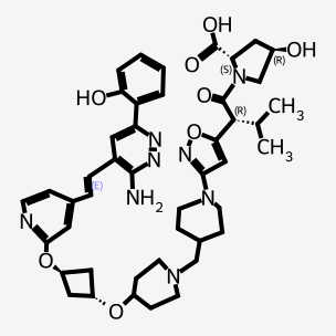 CC(C)[C@@H](C(=O)N1C[C@H](O)C[C@H]1C(=O)O)c1cc(N2CCC(CN3CCC(O[C@H]4C[C@H](Oc5cc(/C=C/c6cc(-c7ccccc7O)nnc6N)ccn5)C4)CC3)CC2)no1